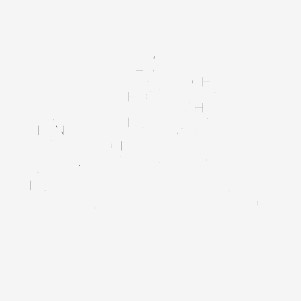 C=C.C=C.C=C.CC(C)(N)Cc1ccc(Cl)cc1